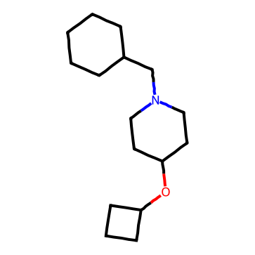 C1CCC(CN2CCC(OC3CCC3)CC2)CC1